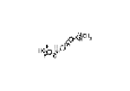 Cc1ncc(-c2ccc3cn(C4CCC(CNC(=O)c5cc(F)c(O)c(F)c5)CC4)nc3c2)cn1